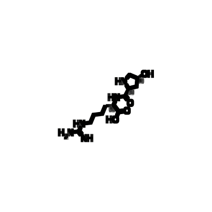 N=C(N)NCCCC[C@H](NC(=O)[C@@H]1C[C@@H](O)CN1)C(=O)O